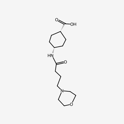 O=C(CCCN1CCOCC1)N[C@H]1CC[C@@H](C(=O)O)CC1